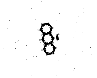 C=C.c1ccc2cc3ccccc3cc2c1